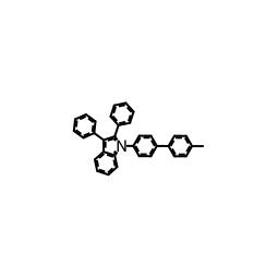 Cc1ccc(-c2ccc(-n3c(-c4ccccc4)c(-c4ccccc4)c4ccccc43)cc2)cc1